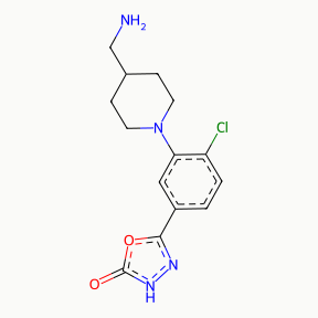 NCC1CCN(c2cc(-c3n[nH]c(=O)o3)ccc2Cl)CC1